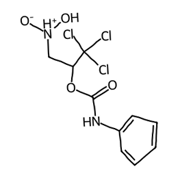 O=C(Nc1ccccc1)OC(C[NH+]([O-])O)C(Cl)(Cl)Cl